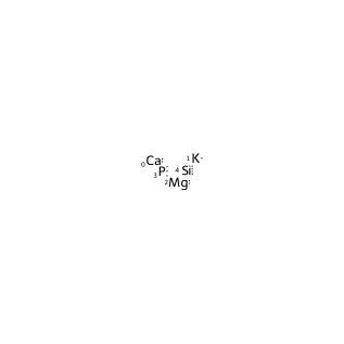 [Ca].[K].[Mg].[P].[Si]